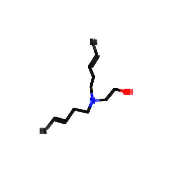 CC/C=C/CCN(CCO)CC/C=C/CC